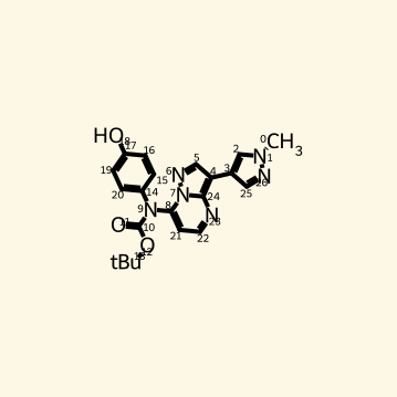 Cn1cc(-c2cnn3c(N(C(=O)OC(C)(C)C)c4ccc(O)cc4)ccnc23)cn1